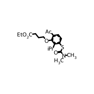 CCOC(=O)CCCOc1c(C(C)=O)ccc(SC(=O)N(C)C)c1C(C)C